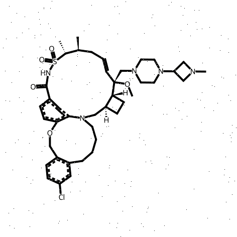 CO[C@@]1(CN2CCN(C3CN(C)C3)CC2)/C=C/C[C@H](C)[C@@H](C)S(=O)(=O)NC(=O)c2ccc3c(c2)N(CCCCc2cc(Cl)ccc2CO3)C[C@@H]2CC[C@H]21